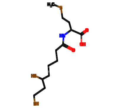 CSCCC(NC(=O)CCCCC(S)CCS)C(=O)O